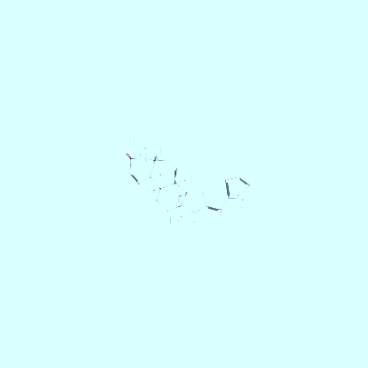 CC(=C1C[C@H]2[C@@H]3CC[C@H]4N(C)C(=O)C=C[C@]4(C)[C@H]3CC[C@]2(C)[C@H]1O)c1ccc[nH]1